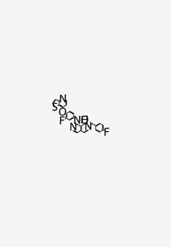 O=c1c2c(Nc3ccc(Oc4ccnc5ccsc45)c(F)c3)nccc2ccn1Cc1ccc(F)cc1